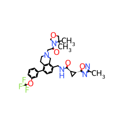 Cc1noc([C@@H]2C[C@H]2C(=O)NCc2ccc(-c3cccc(OC(F)(F)F)c3)c3c2CN(CC(=O)N2COCC2(C)C)CC3)n1